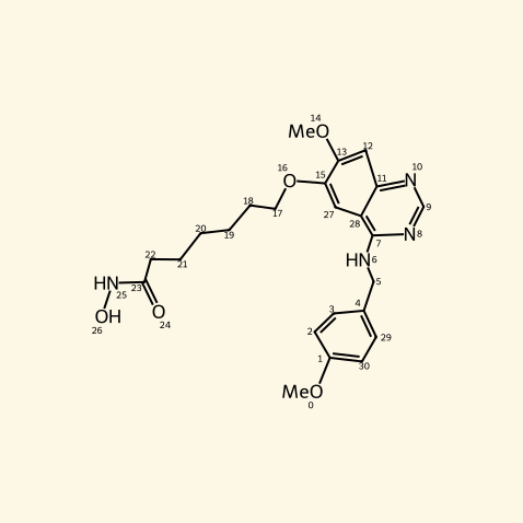 COc1ccc(CNc2ncnc3cc(OC)c(OCCCCCCC(=O)NO)cc23)cc1